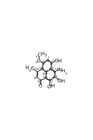 COc1cc(O)c2c(N)c(O)c(O)c3c2c1C(C)=CC3=O